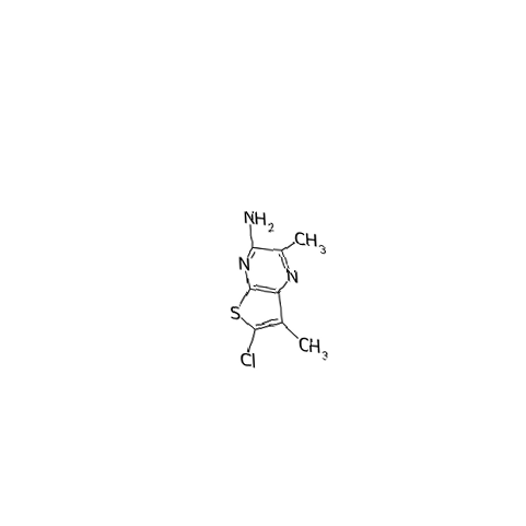 Cc1nc2c(C)c(Cl)sc2nc1N